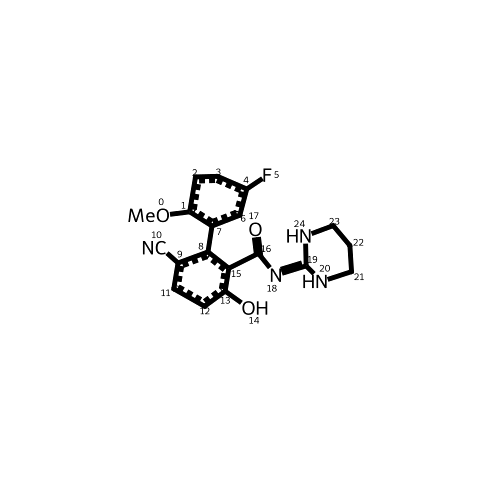 COc1ccc(F)cc1-c1c(C#N)ccc(O)c1C(=O)N=C1NCCCN1